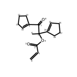 C=CC(=O)OC(C)(C(=O)C1=CCCC1)C1=CCCC1